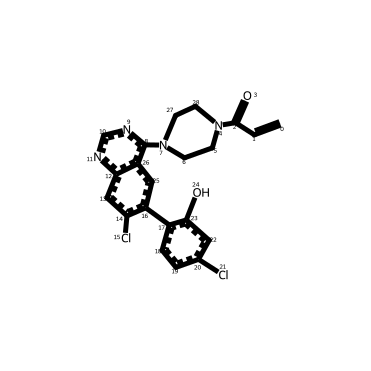 C=CC(=O)N1CCN(c2ncnc3cc(Cl)c(-c4ccc(Cl)cc4O)cc23)CC1